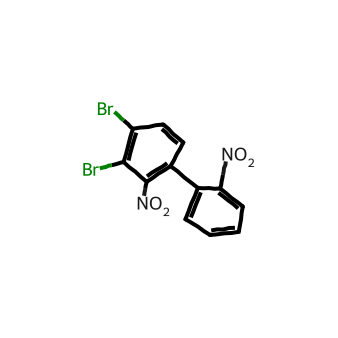 O=[N+]([O-])c1ccccc1-c1ccc(Br)c(Br)c1[N+](=O)[O-]